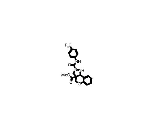 COC(=O)C12COc3ccccc3C1NN(C(=O)Nc1ccc(C(F)(F)F)cc1)C2